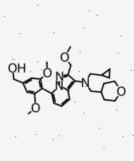 COCc1nn2c(-c3c(OC)cc(CO)cc3OC)cccc2c1N(CC1CCOCC1)CC1CC1